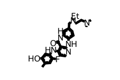 CCN(CCN(C)C)Cc1ccc2c(c1)NC(=O)c1c(Nc3cc(O)c(C)cc3F)ccnc1N2